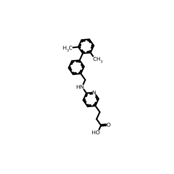 Cc1cccc(C)c1-c1cccc(CNc2ccc(CCC(=O)O)cn2)c1